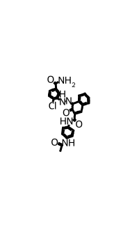 CC(=O)Nc1ccc(NC(=O)C2=Cc3ccccc3C(=NNc3cc(C(N)=O)ccc3Cl)C2=O)cc1